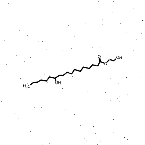 CCCCCCC(O)CCCCCCCCCCC(=O)OCCO